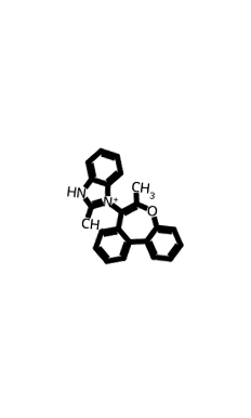 CC1=C([n+]2c(C)[nH]c3ccccc32)c2ccccc2-c2ccccc2O1